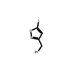 CC(C)Cc1cc(I)on1